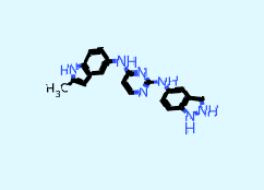 Cc1cc2cc(Nc3ccnc(Nc4ccc5c(c4)CNN5)n3)ccc2[nH]1